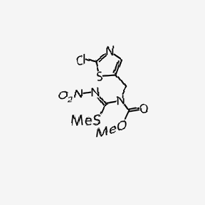 COC(=O)N(Cc1cnc(Cl)s1)C(=N[N+](=O)[O-])SC